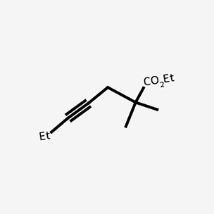 CCC#CCC(C)(C)C(=O)OCC